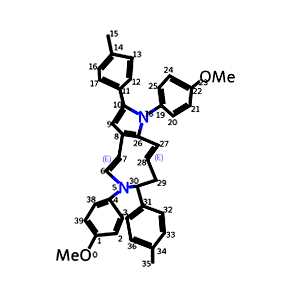 COc1ccc(N2/C=C/c3cc(-c4ccc(C)cc4)n(-c4ccc(OC)cc4)c3/C=C/CC2c2ccc(C)cc2)cc1